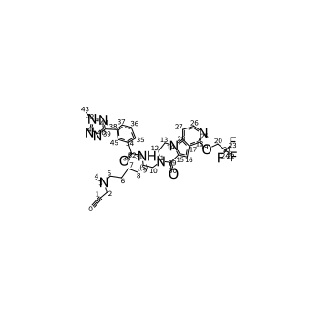 C#CCN(C)CCCC[C@@H](CN1CCn2c(cc3c(OCC(F)(F)F)nccc32)C1=O)NC(=O)c1cccc(-c2nnn(C)n2)c1